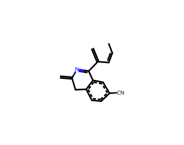 C=C1Cc2ccc(C#N)cc2C(C(=C)/C=C\C)=N1